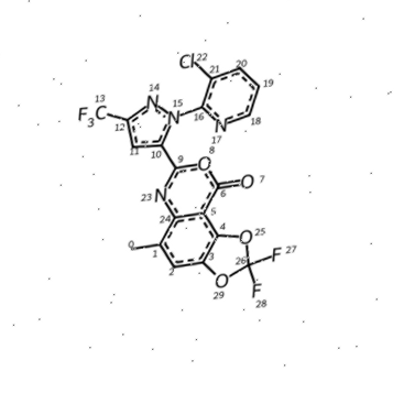 Cc1cc2c(c3c(=O)oc(-c4cc(C(F)(F)F)nn4-c4ncccc4Cl)nc13)OC(F)(F)O2